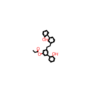 CCC(=O)Oc1cc(CCc2cccc(-c3ccccc3O)c2)cc(-c2ccccc2O)c1